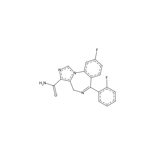 NC(=O)c1ncn2c1CN=C(c1ccccc1F)c1ccc(F)cc1-2